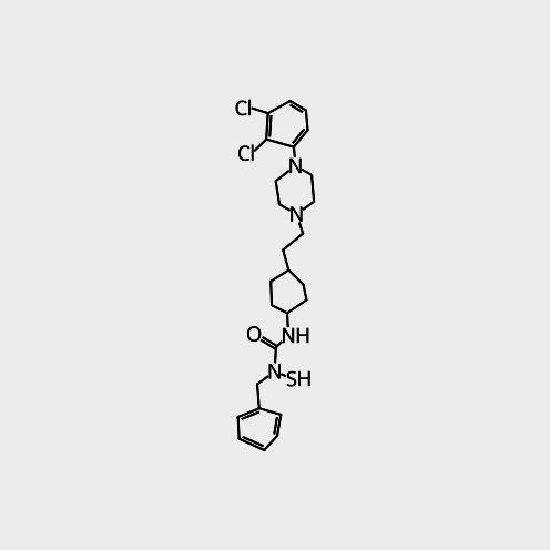 O=C(NC1CCC(CCN2CCN(c3cccc(Cl)c3Cl)CC2)CC1)N(S)Cc1ccccc1